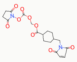 O=C(OCOC(=O)C1CCC(CN2C(=O)C=CC2=O)CC1)ON1C(=O)CCC1=O